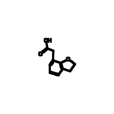 O=C(O)Cc1cccc2c1OCC2